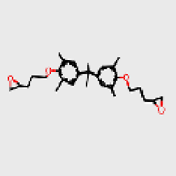 Cc1cc(C(C)(C)c2cc(C)c(OCCCC3CO3)c(C)c2)cc(C)c1OCCCC1CO1